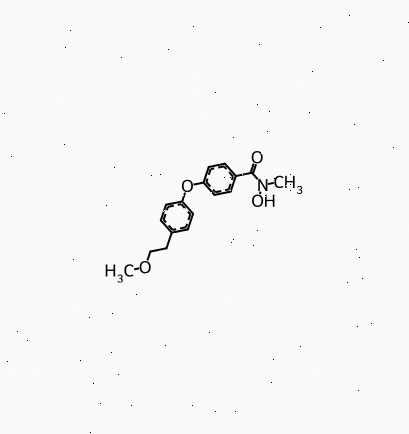 COCCc1ccc(Oc2ccc(C(=O)N(C)O)cc2)cc1